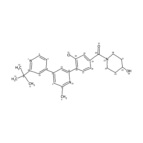 Cc1cc(-c2ccnc(C(C)(C)C)c2)cc(-c2ccc(C(=O)N3CCC(O)CC3)cc2Cl)n1